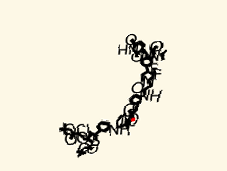 CC(C)n1c(=O)n(C2CCC(=O)NC2=O)c2ccc(C3CCN(CC(=O)Nc4cccc(CS(=O)(=O)N5CC[C@H](Nc6cccc(-c7sc(C(=O)OC(C)(C)C)c(OCC(=O)OC(C)(C)C)c7Cl)c6)CC5(C)C)c4)CC3(F)F)cc21